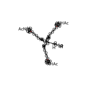 CC(=O)N[C@H]1[C@H]2OC[C@](COCCOCCOCCOCCn3cc(COCC(COCc4cn(CCOCCOCCOCCOC[C@@]56CO[C@@H](O5)[C@H](NC(C)=O)[C@H]5OC(C)(C)O[C@H]56)nn4)(COCc4cn(CCOCCOCCOCCOC[C@@]56CO[C@@H](O5)[C@H](NC(C)=O)[C@H]5OC(C)(C)O[C@H]56)nn4)NC(=O)CCCCCNC(=O)OCCSSc4ccccn4)nn3)(O2)[C@@H]2OC(C)(C)O[C@H]12